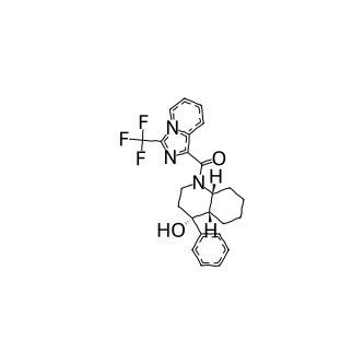 O=C(c1nc(C(F)(F)F)n2ccccc12)N1CC[C@](O)(c2ccccc2)[C@H]2CCCC[C@H]21